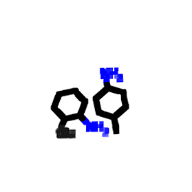 CC(C)(C)C1CCCCC1N.CC1CCC(N)CC1